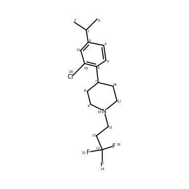 CC(C)c1ccc(C2CCN(CCC(F)(F)F)CC2)c(Cl)c1